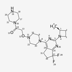 C[C@H]1CCN1c1nc(N2CCN(OCC(=O)N3CCNCC3)CC2)c2c(n1)C(F)(F)CC2